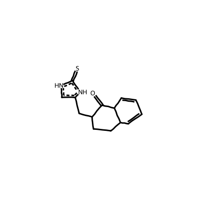 O=C1C(Cc2c[nH]c(=S)[nH]2)CCC2C=CC=CC12